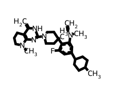 C=CN(C)c1cc(C2CCC(C)CC2)cc(F)c1C1(C)CCN(C2=NC3=C(CCCN3C)C(=C)N2)CC1